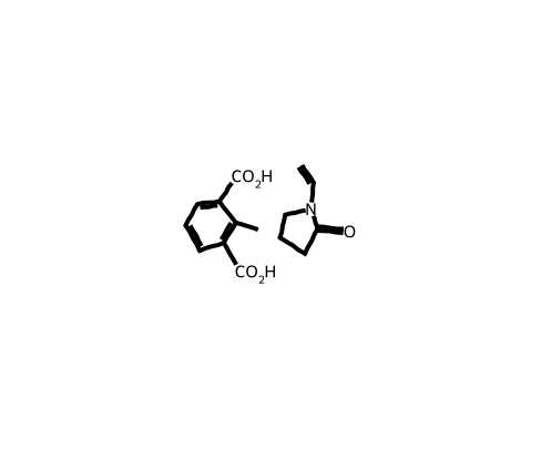 C=CN1CCCC1=O.Cc1c(C(=O)O)cccc1C(=O)O